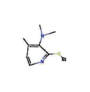 CCSc1nccc(C)c1N(C)C